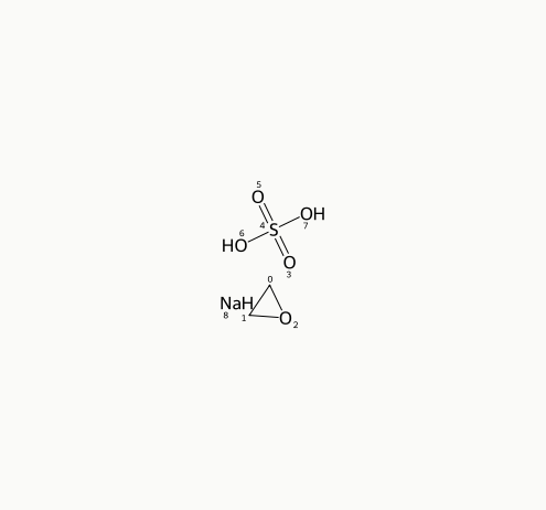 C1CO1.O=S(=O)(O)O.[NaH]